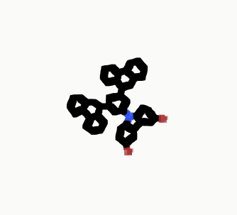 Brc1ccc2c(c1)c1cc(Br)ccc1n2-c1cc(-c2cc3ccccc3c3ccccc23)cc(C2Cc3ccccc3-c3ccccc32)c1